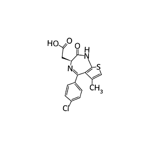 Cc1csc2c1C(c1ccc(Cl)cc1)=N[C@@H](CC(=O)O)C(=O)N2